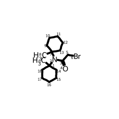 CC1(N(C(=O)CBr)C2(C)CCCCC2)CCCCC1